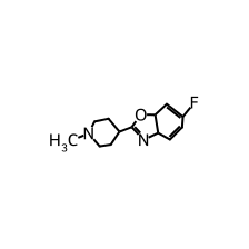 CN1CCC(C2=NC3C=CC(F)=CC3O2)CC1